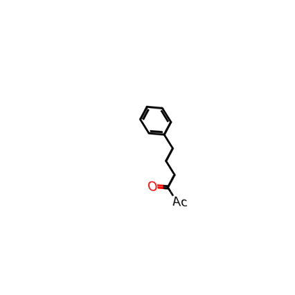 CC(=O)C(=O)CCCc1ccccc1